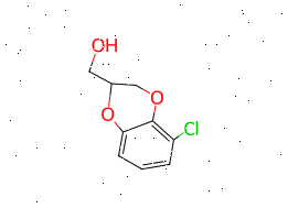 OCC1COc2c(Cl)cccc2O1